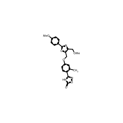 COCc1nc(-c2ccc(OC)cc2)oc1COc1ccc(-c2noc(=O)[nH]2)c(C)c1